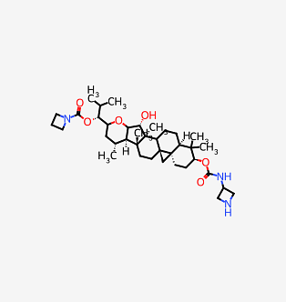 CC(C)[C@@H](OC(=O)N1CCC1)C1C[C@@H](C)[C@H]2C(O1)[C@H](O)[C@@]1(C)C3CC[C@H]4C(C)(C)[C@@H](OC(=O)NC5CNC5)CC[C@@]45C[C@@]35CC[C@]21C